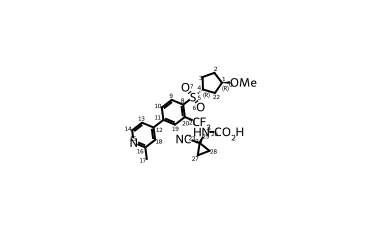 CO[C@@H]1CC[C@@H](S(=O)(=O)c2ccc(-c3ccnc(C)c3)cc2C(F)(F)F)C1.N#CC1(NC(=O)O)CC1